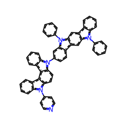 c1ccc(-n2c3ccccc3c3cc4c(cc32)c2ccc(-n3c5ccccc5c5c6c7ccccc7n(-c7ccncc7)c6ccc53)cc2n4-c2ccccc2)cc1